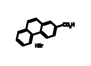 Br.O=C(O)c1ccc2c(ccc3ccccc32)c1